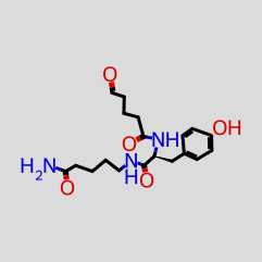 NC(=O)CCCCNC(=O)[C@H](Cc1ccc(O)cc1)NC(=O)CCCC=O